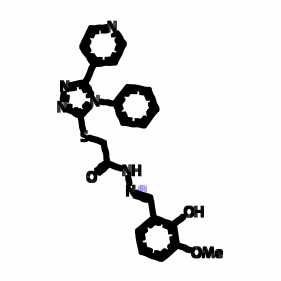 COc1cccc(/C=N/NC(=O)CSc2nnc(-c3ccncc3)n2-c2ccccc2)c1O